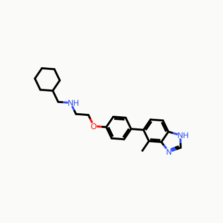 Cc1c(-c2ccc(OCCNCC3CCCCC3)cc2)ccc2[nH]cnc12